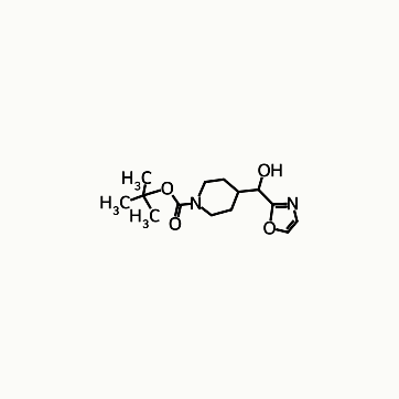 CC(C)(C)OC(=O)N1CCC(C(O)c2ncco2)CC1